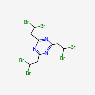 BrC(Br)Cc1nc(CC(Br)Br)nc(CC(Br)Br)n1